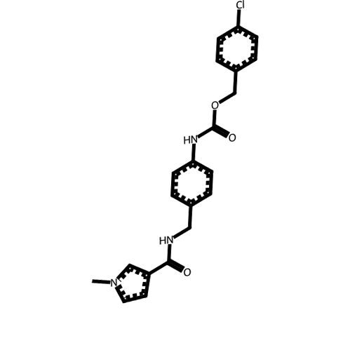 Cn1ccc(C(=O)NCc2ccc(NC(=O)OCc3ccc(Cl)cc3)cc2)c1